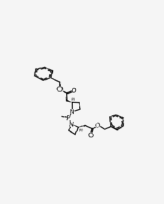 CP(N1CC[C@@H]1CC(=O)OCc1ccccc1)N1CC[C@@H]1CC(=O)OCc1ccccc1